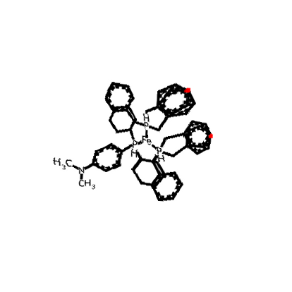 CN(C)c1ccc([PH](C2CCCCC2)(C2CCCCC2)[Fe]([PH](Cc2ccccc2)(Cc2ccccc2)Cc2ccccc2)[PH](Cc2ccccc2)(Cc2ccccc2)Cc2ccccc2)cc1